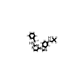 C[C@H](Nc1nccc(-n2cnc3cc(NCC(C)(C)C)ccc32)n1)c1ccccc1